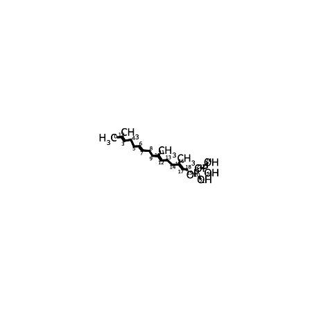 CC(C)=CCC/C=C/CC/C(C)=C/CC/C(C)=C/COP(O)OP(O)O